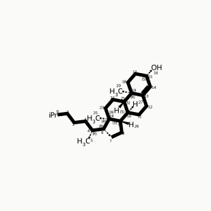 CC(C)CCC[C@@H](C)[C@H]1CC[C@H]2[C@@H]3CCC4=C[C@@H](O)CC[C@]4(C)[C@H]3CC[C@]12C